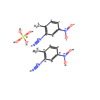 Cc1ccc([N+](=O)[O-])cc1[N+]#N.Cc1ccc([N+](=O)[O-])cc1[N+]#N.O=S(=O)([O-])[O-]